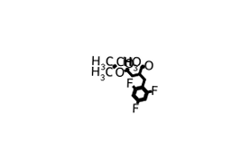 CC(C)(C)OC(=O)CC(Cc1c(F)cc(F)cc1F)C(=O)O